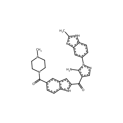 Cc1nc2cc(-n3ncc(C(=O)c4cc5cc(C(=O)N6CCN(C)CC6)ccc5[nH]4)c3N)ccc2[nH]1